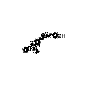 CC(C)(C)OC(=O)N[C@@H](Cc1ccccc1)C(=O)Nc1ccc(C=CC(=O)CC(=O)C=Cc2ccc(O)cc2)cc1